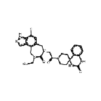 CC(C)(C)CN1Cc2c(cc(Cl)c3[nH]ncc23)C[C@@H](CC(=O)N2CCC3(CC2)NC(=O)Nc2ccccc23)C1=O